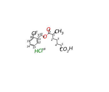 CC(CCCCC(=O)O)C(=O)OCc1ccccc1C(F)(F)F.Cl